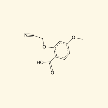 COc1ccc(C(=O)O)c(OCC#N)c1